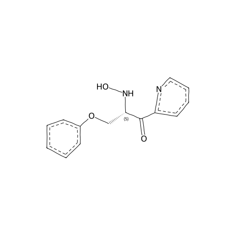 O=C(c1ccccn1)[C@H](COc1ccccc1)NO